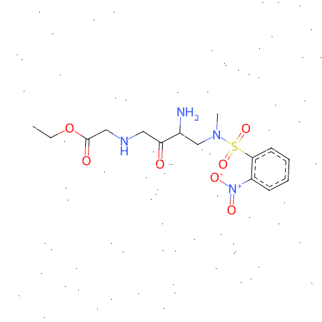 CCOC(=O)CNCC(=O)C(N)CN(C)S(=O)(=O)c1ccccc1[N+](=O)[O-]